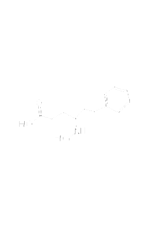 O=C(O)CCC(CCc1ccccc1)NO